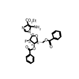 CCOC(=O)c1ncn([C@@H]2O[C@H](COC(=O)c3ccccc3)[C@@H](OC(=O)c3ccccc3)[C@H]2F)c1N